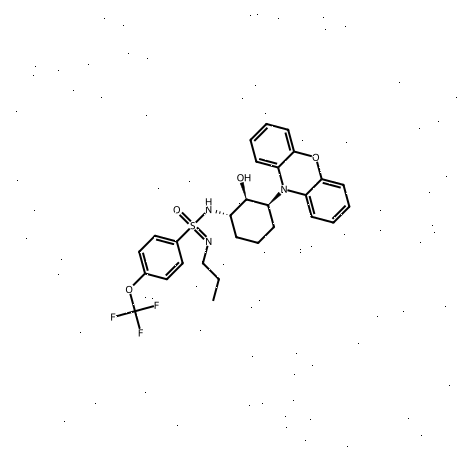 CCCN=S(=O)(N[C@H]1CCC[C@H](N2c3ccccc3Oc3ccccc32)[C@@H]1O)c1ccc(OC(F)(F)F)cc1